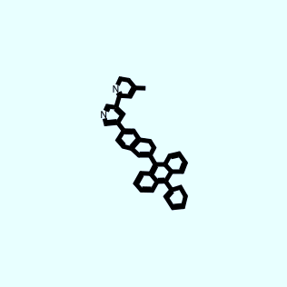 CC1=CC(c2cncc(-c3ccc4c(c3)CCC(C3=c5ccccc5=C(C5=CC=CCC5)C5C=CC=CC35)=C4)c2)=NCC1